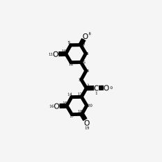 O=C=C(CCC1CC(=O)CC(=O)C1)C1CC(=O)CC(=O)C1